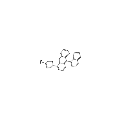 Fc1ccc(-c2cccc3c(-c4cccc5ccccc45)c4ccccc4cc23)cc1